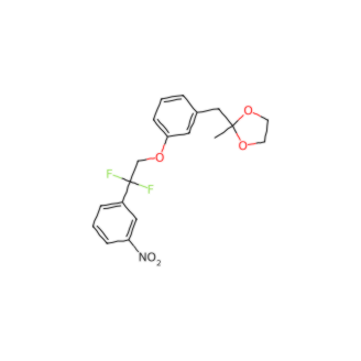 CC1(Cc2cccc(OCC(F)(F)c3cccc([N+](=O)[O-])c3)c2)OCCO1